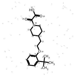 CC(C)(C)c1ccccc1OCCC1CCN(C(=O)C(=O)O)CC1